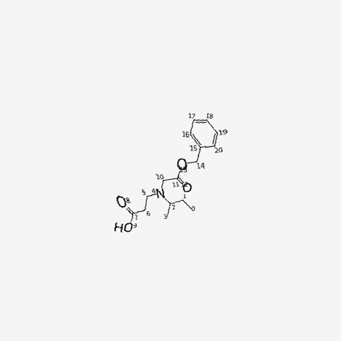 CCC(C)N(CCC(=O)O)CC(=O)OCc1ccccc1